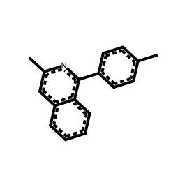 Cc1ccc(-c2nc(C)cc3ccccc23)cc1